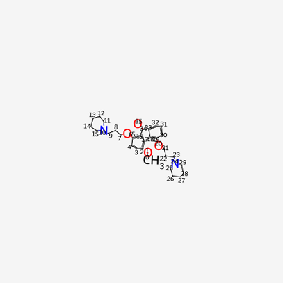 COc1ccc(OCCCN2CCCCC2)c2c1-c1c(OCCCN3CCCCC3)cccc1C2=O